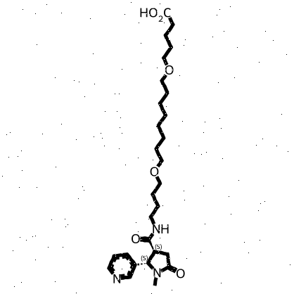 CN1C(=O)C[C@H](C(=O)NCCCCOCCCCCCCCOCCCCC(=O)O)[C@H]1c1cccnc1